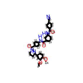 CCOc1cc(C2=NN(C(=O)c3ccc(NC(=O)c4cccc(NC(=O)c5ccc(C#N)cc5)c4)cc3)CCC2)ccc1OC